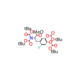 COC(=O)C(Cc1cc(OC(=O)OC(C)(C)C)c(OC(=O)OC(C)(C)C)cc1F)N(C(=O)OC(C)(C)C)C(=O)OC(C)(C)C